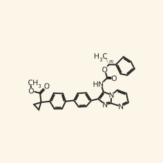 COC(=O)C1(c2ccc(-c3ccc(-c4nc5ncccn5c4NC(=O)O[C@H](C)c4ccccc4)cc3)cc2)CC1